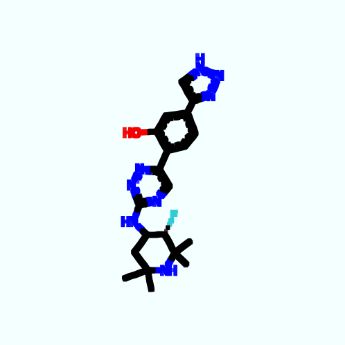 CC1(C)CC(Nc2ncc(-c3ccc(-c4c[nH]nn4)cc3O)nn2)[C@H](F)C(C)(C)N1